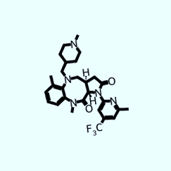 Cc1cc(C(F)(F)F)cc(N2C(=O)C[C@@H]3CN(CC4CCN(C)CC4)c4c(C)cccc4N(C)C(=O)[C@H]32)n1